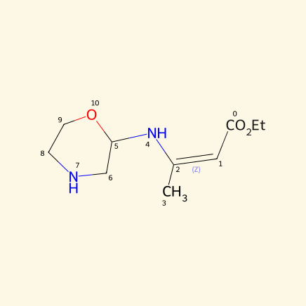 CCOC(=O)/C=C(/C)NC1CNCCO1